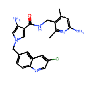 Cc1cc(N)nc(C)c1CNC(=O)c1cn(Cc2ccc3ncc(Cl)cc3c2)cc1N